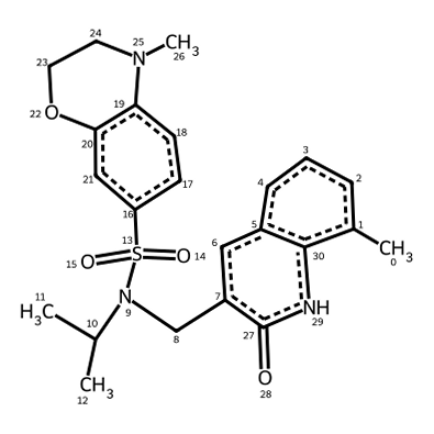 Cc1cccc2cc(CN(C(C)C)S(=O)(=O)c3ccc4c(c3)OCCN4C)c(=O)[nH]c12